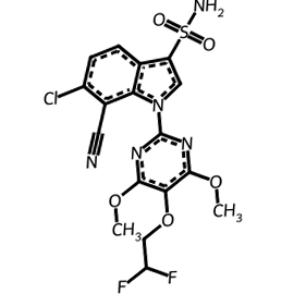 COc1nc(-n2cc(S(N)(=O)=O)c3ccc(Cl)c(C#N)c32)nc(OC)c1OCC(F)F